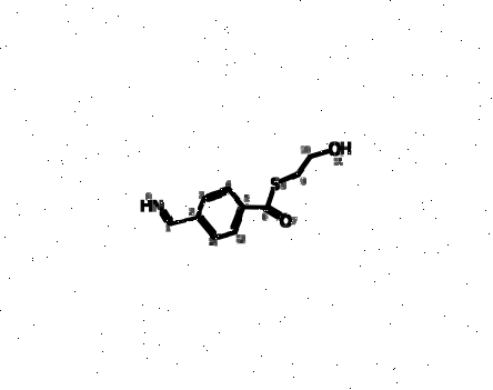 N=Cc1ccc(C(=O)SCCO)cc1